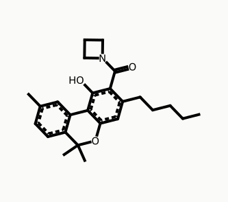 CCCCCc1cc2c(c(O)c1C(=O)N1CCC1)-c1cc(C)ccc1C(C)(C)O2